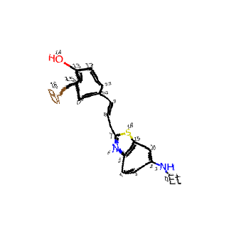 CCNc1ccc2nc(C=Cc3ccc(O)c(Br)c3)sc2c1